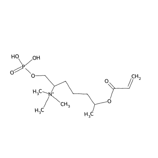 C=CC(=O)OC(C)CCCC(COP(=O)(O)O)[N+](C)(C)C